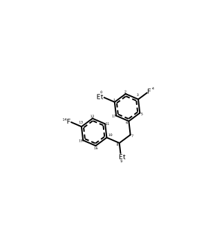 CCc1cc(F)cc(CC(CC)c2ccc(F)cc2)c1